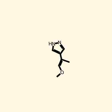 CO/C=C(\C)c1cn[nH]c1